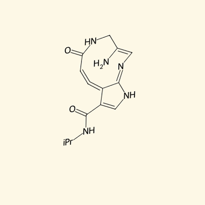 CC(C)NC(=O)c1c[nH]/c2c1=C=CC(=O)NC/C(N)=C/N=2